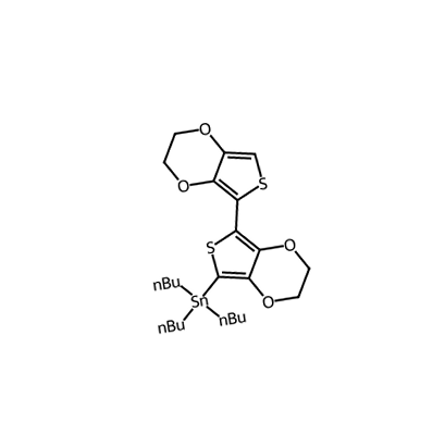 CCC[CH2][Sn]([CH2]CCC)([CH2]CCC)[c]1sc(-c2scc3c2OCCO3)c2c1OCCO2